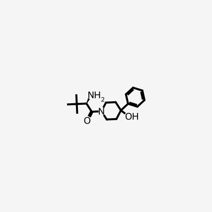 CC(C)(C)[C@@H](N)C(=O)N1CCC(O)(c2ccccc2)CC1